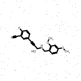 COc1ccc(CNCC#Cc2ccc(F)c(C#N)c2)c(OC)c1.Cl